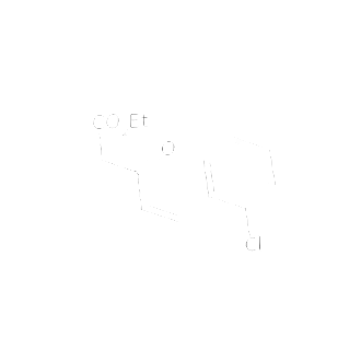 CCOC(=O)CC(=O)C(C)=Cc1ccccc1Cl